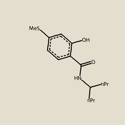 CCCC(CCC)NC(=O)c1ccc(SC)cc1O